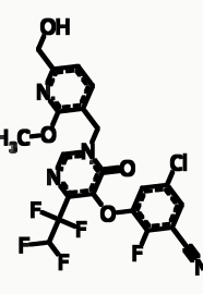 COc1nc(CO)ccc1Cn1cnc(C(F)(F)C(F)F)c(Oc2cc(Cl)cc(C#N)c2F)c1=O